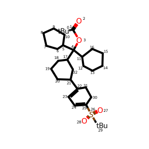 CC(C)(C)C(=O)OC(C1CCCCC1)(C1CCCCC1)C1CCCC(C2=CC=C(S(=O)(=O)C(C)(C)C)CC2)C1